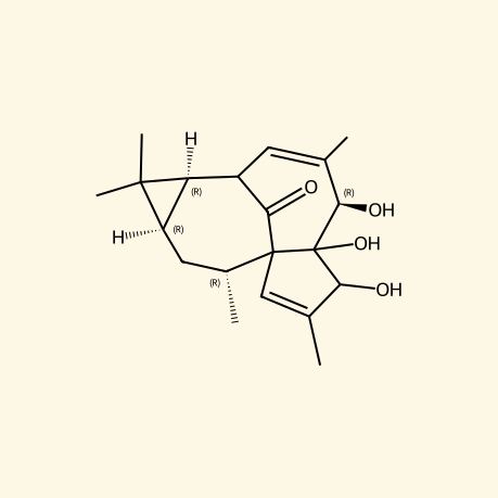 CC1=CC23C(=O)C(C=C(C)[C@@H](O)C2(O)C1O)[C@H]1[C@@H](C[C@H]3C)C1(C)C